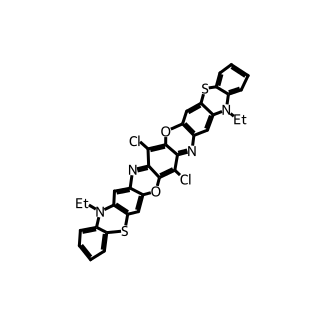 CCn1c2ccccc2sc2cc3oc4c(Cl)c5nc6cc7c(cc6oc5c(Cl)c4nc3cc21)sc1ccccc1n7CC